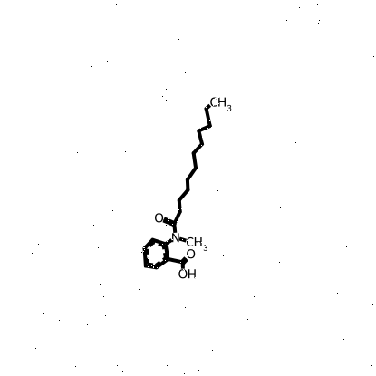 CCCCCCCCCCCC(=O)N(C)c1ccccc1C(=O)O